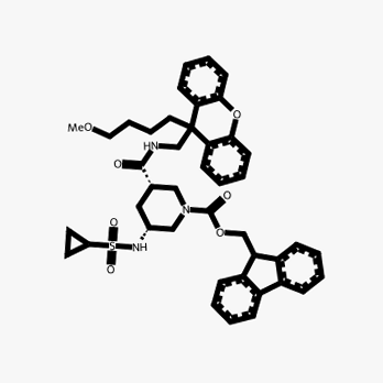 COCCCCC1(CNC(=O)[C@H]2C[C@@H](NS(=O)(=O)C3CC3)CN(C(=O)OCC3c4ccccc4-c4ccccc43)C2)c2ccccc2Oc2ccccc21